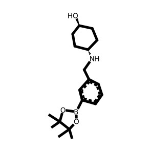 CC1(C)OB(c2cccc(CN[C@H]3CC[C@H](O)CC3)c2)OC1(C)C